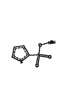 CCCCOS(=O)(=O)c1cccs1